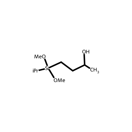 CO[Si](CCC(C)O)(OC)C(C)C